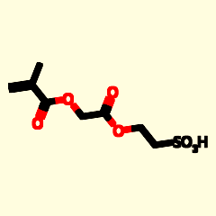 C=C(C)C(=O)OCC(=O)OCCS(=O)(=O)O